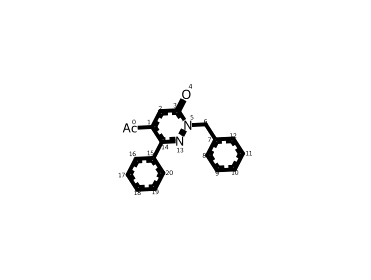 CC(=O)c1cc(=O)n(Cc2ccccc2)nc1-c1ccccc1